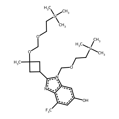 CC1(OCOCC[Si](C)(C)C)CC(c2nc3c(C(F)(F)F)cc(O)cc3n2COCC[Si](C)(C)C)C1